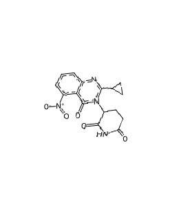 O=C1CCC(n2c(C3CC3)nc3cccc([N+](=O)[O-])c3c2=O)C(=O)N1